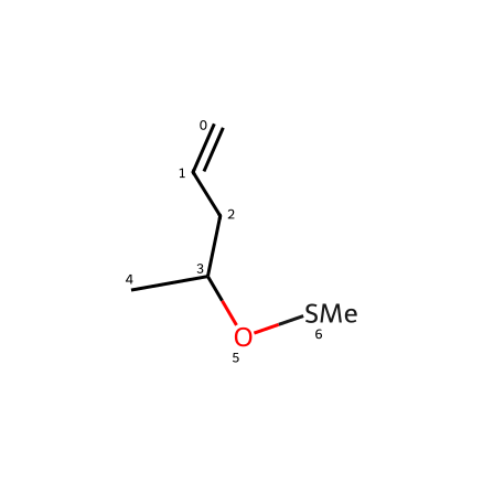 C=CCC(C)OSC